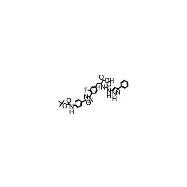 CC(C)(C)OC(=O)Nc1ccc(-c2nc(-c3ccc(CC(NC(=O)Nc4cc(-c5ccccc5)n[nH]4)C(=O)O)cc3F)no2)cc1